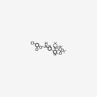 COc1cc(Cl)ccc1OCCNc1ccc(-c2cnc(C)c([C@H](OC(C)(C)C)C(=O)OC(C)C)c2N2CCC(C)(C)CC2)cn1